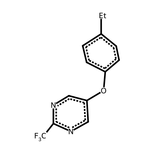 [CH2]Cc1ccc(Oc2cnc(C(F)(F)F)nc2)cc1